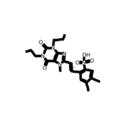 CCCn1c(=O)c2c(nc(/C=C/c3cc(C)c(C)cc3S(=O)(=O)O)n2C)n(CCC)c1=O